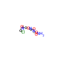 Cc1oc(Cc2cccc(Cl)c2)nc1-c1ccc(OCc2ccc(C(=O)N3CCC[C@H](OC(N)=O)C3)cn2)cc1